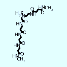 CNC(=O)CCNC(=O)CCNC(=O)CCNC(=O)CN(C)CCNC(=O)CCC(=O)NC